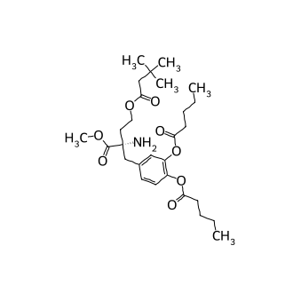 CCCCC(=O)Oc1ccc(C[C@](N)(CCOC(=O)CC(C)(C)C)C(=O)OC)cc1OC(=O)CCCC